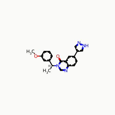 COc1cccc([C@H](C)n2cnc3ccc(-c4cn[nH]c4)cc3c2=O)c1